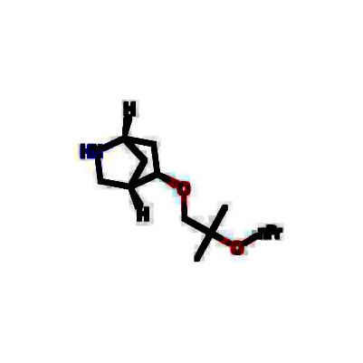 CCCOC(C)(C)CO[C@@H]1C[C@@H]2C[C@H]1CN2